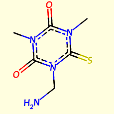 Cn1c(=O)n(C)c(=S)n(CN)c1=O